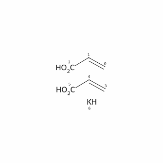 C=CC(=O)O.C=CC(=O)O.[KH]